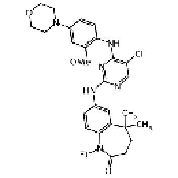 CCN1C(=O)CCC(C)(C)c2cc(Nc3ncc(Cl)c(Nc4ccc(N5CCOCC5)cc4OC)n3)ccc21